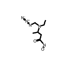 CCN(CN=[N+]=[N-])C(C)CC(=O)N=O